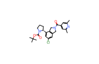 Cc1cc(C(=O)N2Cc3cc(Cl)cc([C@@H]4CCCN4C(=O)OC(C)(C)C)c3C2)cc(C)n1